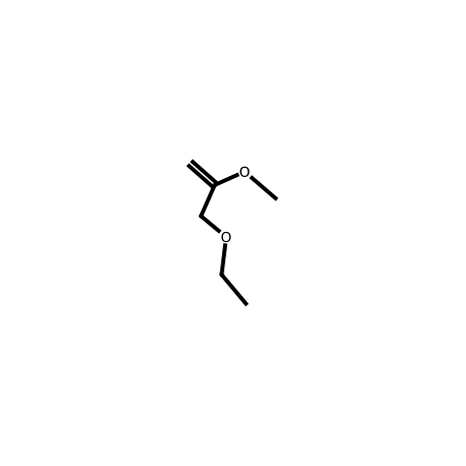 C=C(COCC)OC